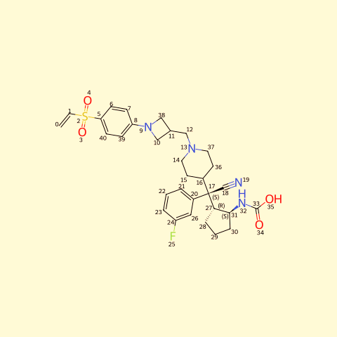 C=CS(=O)(=O)c1ccc(N2CC(CN3CCC([C@@](C#N)(c4cccc(F)c4)[C@H]4CCC[C@@H]4NC(=O)O)CC3)C2)cc1